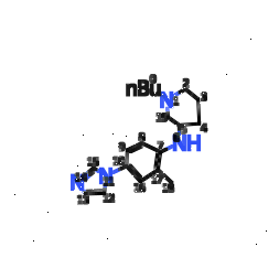 CCCCN1CCCC(Nc2ccc(-n3ccnc3)cc2C)C1